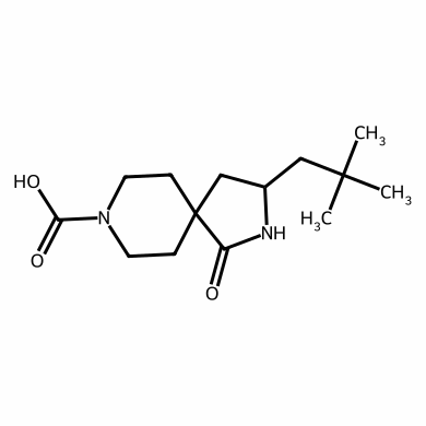 CC(C)(C)CC1CC2(CCN(C(=O)O)CC2)C(=O)N1